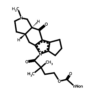 CCCCCCCCCC(=O)OCCC(C)(C)C(=O)n1c2c(c3c1C[C@@H]1CCN(C)C[C@H]1C3=O)CCC2